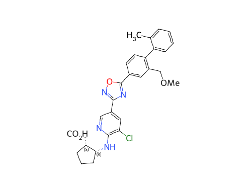 COCc1cc(-c2nc(-c3cnc(N[C@@H]4CCC[C@@H]4C(=O)O)c(Cl)c3)no2)ccc1-c1ccccc1C